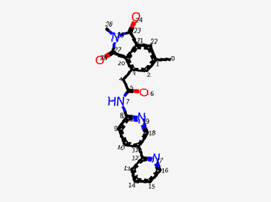 Cc1cc(CC(=O)Nc2ccc(-c3ccccn3)cn2)c2c(c1)C(=O)N(C)C2=O